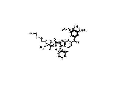 COc1cc(C(=O)N(CCCc2ccccc2)Cc2nc(C(=O)NS(=O)(=O)N(C)CCOCCO)c(C)s2)cc(OC)c1C